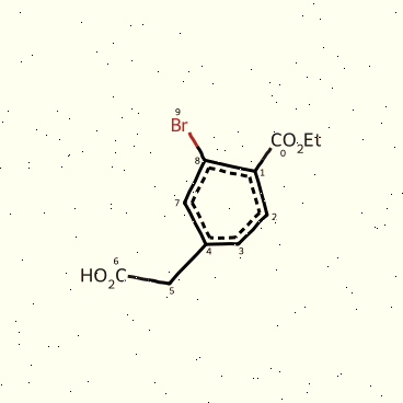 CCOC(=O)c1ccc(CC(=O)O)cc1Br